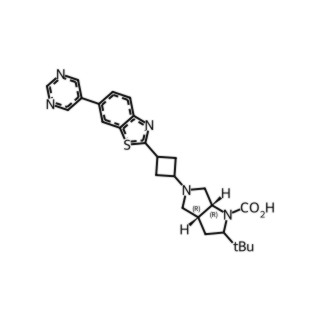 CC(C)(C)C1C[C@@H]2CN(C3CC(c4nc5ccc(-c6cncnc6)cc5s4)C3)C[C@@H]2N1C(=O)O